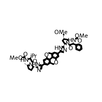 COC[C@H]1C[C@@H](c2ncc(-c3cc4c5c(c3)OCc3cc(-c6cnc([C@@H]7CC[C@H](C)N7C(=O)[C@@H](NC(=O)OC)C(C)C)[nH]6)cc(c3-5)OC4)[nH]2)N(C(=O)[C@H](NC(=O)OC)c2ccccc2)C1